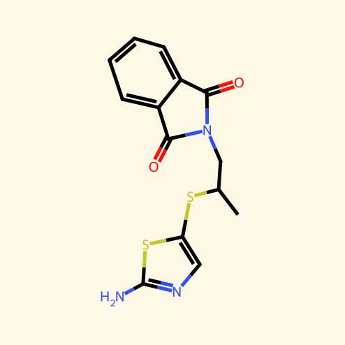 CC(CN1C(=O)c2ccccc2C1=O)Sc1cnc(N)s1